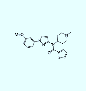 COc1cc(-n2ccc(N(C(=O)c3cccs3)C3CCN(C)CC3)n2)ccn1